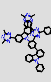 Cc1nc(C)nc(-c2ccc3c(c2)c2cc(-c4nc(C)nc(C)n4)ccc2n3-c2ccc(-c3cccc4c3c3ccccc3n4-c3ccccc3)cc2-c2nc(-c3ccccc3)nc(-c3ccccc3)n2)n1